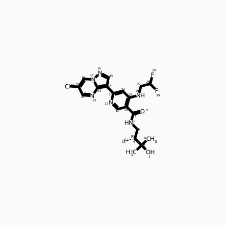 CC(C)(O)[C@H](F)CNC(=O)c1cnc(-c2cnn3cc(Cl)cnc23)cc1NCC(F)F